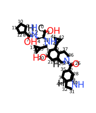 C=C(O)[C@H](CNC(O)C1CCCC1)NC(C1CC1)[C@H]1C(O)C[C@H]2CN(C(=O)C3C=C4NCC[C@H]4CC3)CCC2C1C1CC1